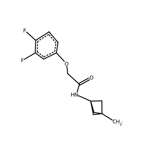 [CH2]C12CC(NC(=O)COc3ccc(F)c(F)c3)(C1)C2